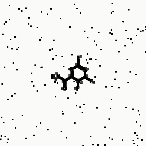 NC(=O)C1=NC(F)=NC(F)N1F